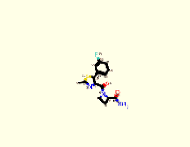 Cc1nc(C(=O)N2CCC2C(N)=O)c(-c2cccc(F)c2)s1